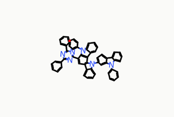 c1ccc(-c2nc(-c3ccccc3)nc(-c3cc4c5ccccc5n(-c5ccc6c7ccccc7n(-c7ccccc7)c6c5)c4c4c5ccccc5n(-c5ccccc5)c34)n2)cc1